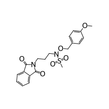 COc1ccc(CON(CCCN2C(=O)c3ccccc3C2=O)S(C)(=O)=O)cc1